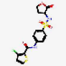 O=C(Nc1ccc(S(=O)(=O)NC2CCOC2=O)cc1)c1sccc1Cl